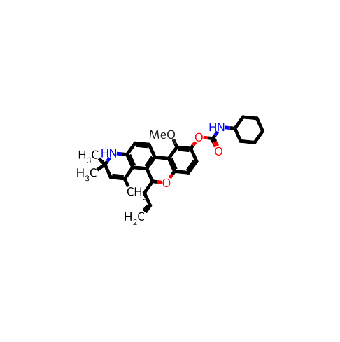 C=CCC1Oc2ccc(OC(=O)NC3CCCCC3)c(OC)c2-c2ccc3c(c21)C(C)=CC(C)(C)N3